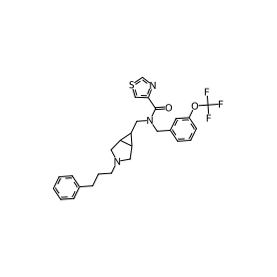 O=C(c1cscn1)N(Cc1cccc(OC(F)(F)F)c1)CC1C2CN(CCCc3ccccc3)CC21